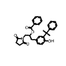 CC(C)(c1ccccc1)c1cc(CC(CN2C(=O)CCC2=O)OC(=O)c2ccccc2)ccc1O